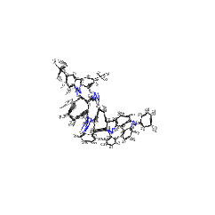 CC(C)(C)c1ccc2c(c1)c1cc(C(C)(C)C)ccc1n2-c1cccc(-n2c3ccccc3c3c2ccc2c4ccc5c(c6ccccc6n5-c5ccccc5)c4n(-c4ccccc4)c23)c1C#N